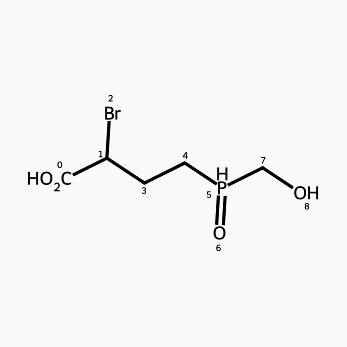 O=C(O)C(Br)CC[PH](=O)CO